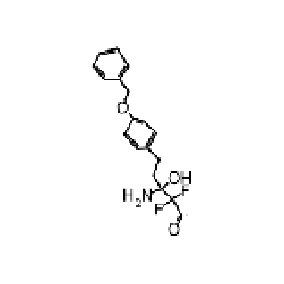 NC(O)(CCc1ccc(OCc2ccccc2)cc1)C(F)(F)[C]=O